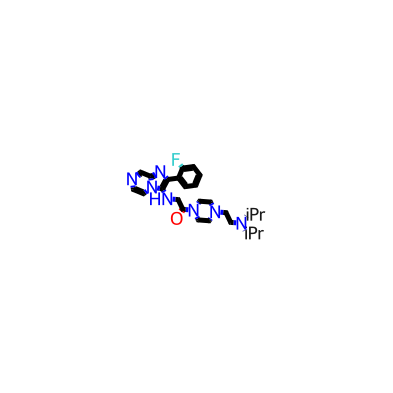 CC(C)N(CCN1CCN(C(=O)CNc2c(-c3ccccc3F)nc3cnccn23)CC1)C(C)C